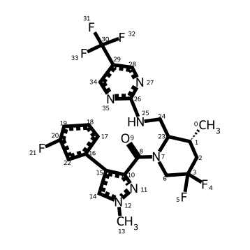 C[C@@H]1CC(F)(F)CN(C(=O)c2nn(C)cc2-c2cccc(F)c2)C1CNc1ncc(C(F)(F)F)cn1